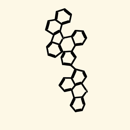 c1cc(-c2ccccc2-n2c3ccccc3c3ccc4ccccc4c32)cc(-c2ccc3c4c(cccc24)-c2ccccc2S3)c1